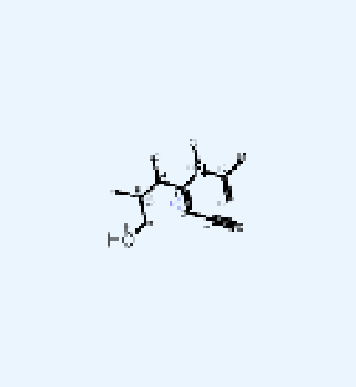 C#C/C=C(/C(C)[C@H](C)CO)N(C)C(=C)C